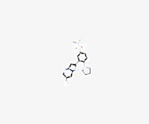 CN(C)S(=O)(=O)c1ccc(N2CCCC2)c(-c2cc3ncc(Cl)cc3[nH]2)c1